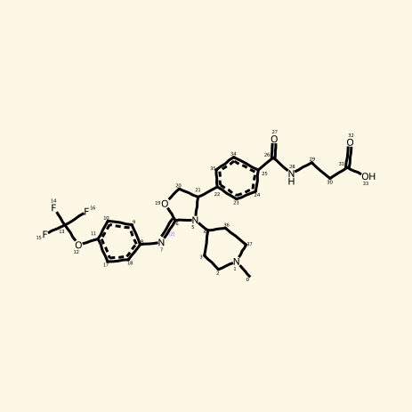 CN1CCC(N2/C(=N/c3ccc(OC(F)(F)F)cc3)OCC2c2ccc(C(=O)NCCC(=O)O)cc2)CC1